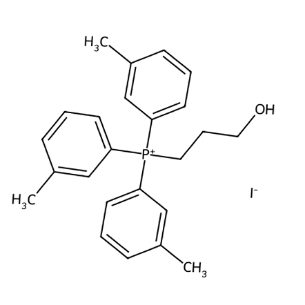 Cc1cccc([P+](CCCO)(c2cccc(C)c2)c2cccc(C)c2)c1.[I-]